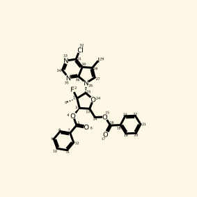 C[C@@]1(F)[C@H](OC(=O)c2ccccc2)C(COC(=O)c2ccccc2)O[C@H]1n1cc(I)c2c(Cl)ncnc21